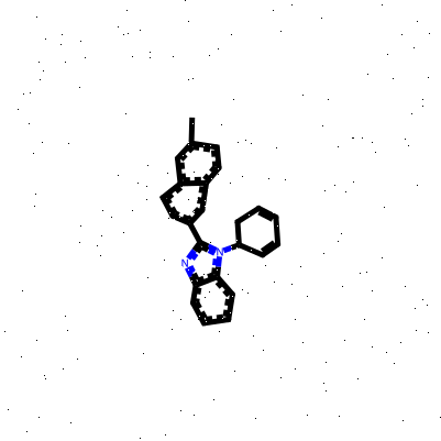 Cc1ccc2cc(-c3nc4ccccc4n3C3C=CC=CC3)ccc2c1